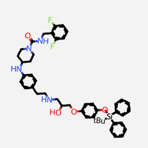 CC(C)(C)[Si](Oc1ccc(OCC(O)CNCCc2ccc(NC3CCN(C(=O)NCc4c(F)cccc4F)CC3)cc2)cc1)(c1ccccc1)c1ccccc1